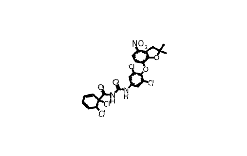 CC1(C)Cc2c([N+](=O)[O-])ccc(Oc3c(Cl)cc(NC(=O)NC(=O)C4(Cl)C=CC=CC4Cl)cc3Cl)c2O1